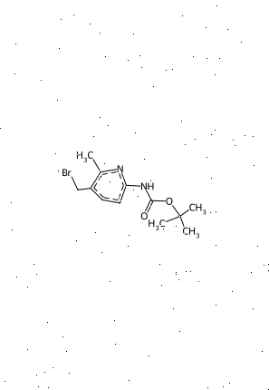 Cc1nc(NC(=O)OC(C)(C)C)ccc1CBr